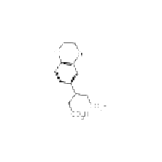 O=C(O)CC(CC(=O)O)c1ccc2c(c1)OCCO2